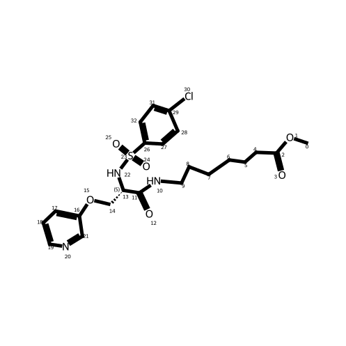 COC(=O)CCCCCCNC(=O)[C@H](COc1cccnc1)NS(=O)(=O)c1ccc(Cl)cc1